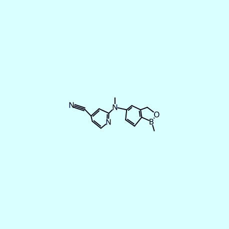 CB1OCc2cc(N(C)c3cc(C#N)ccn3)ccc21